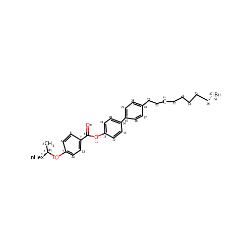 CCCCCC[C@@H](C)Oc1ccc(C(=O)Oc2ccc(-c3ccc(CCCCCCCC[C@@H](C)CC)cc3)cc2)cc1